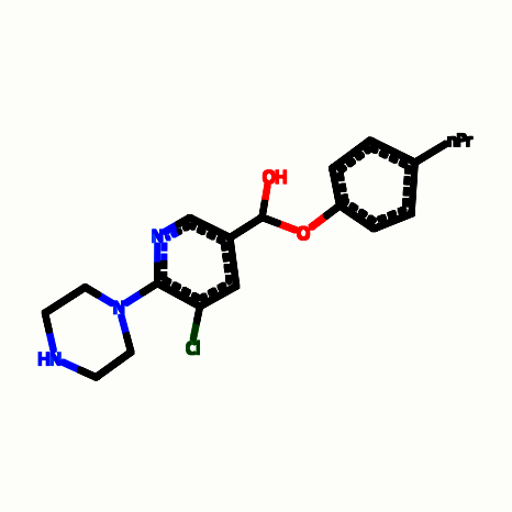 CCCc1ccc(OC(O)c2cnc(N3CCNCC3)c(Cl)c2)cc1